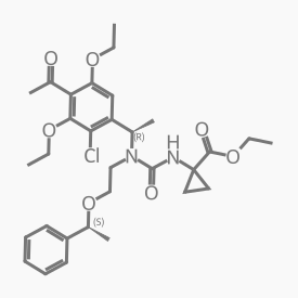 CCOC(=O)C1(NC(=O)N(CCO[C@@H](C)c2ccccc2)[C@H](C)c2cc(OCC)c(C(C)=O)c(OCC)c2Cl)CC1